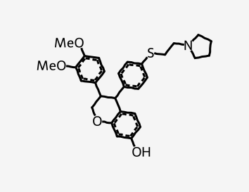 COc1ccc(C2COc3cc(O)ccc3C2c2ccc(SCCN3CCCC3)cc2)cc1OC